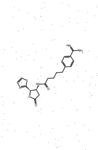 N=C(N)c1ccc(CCCCC(=O)N[C@H]2CC(=O)O[C@H]2c2nccs2)cc1